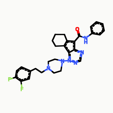 O=C(Nc1ccccc1)c1c2ncnn(N3CCN(CCc4ccc(F)c(F)c4)CC3)c-2c2c1CCCC2